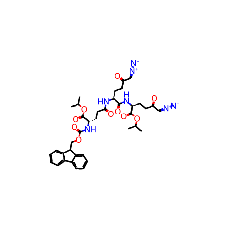 CC(C)OC(=O)[C@H](CCC(=O)N[C@@H](CCC(=O)C=[N+]=[N-])C(=O)N[C@@H](CCC(=O)C=[N+]=[N-])C(=O)OC(C)C)NC(=O)OCC1c2ccccc2-c2ccccc21